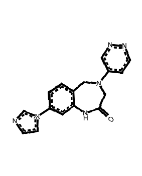 O=C1CN(c2ccnnc2)Cc2ccc(-n3ccnc3)cc2N1